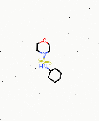 S=S(=S)(NC1CCCCC1)N1CCOCC1